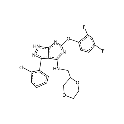 Fc1ccc(Oc2nc(NCC3COCCO3)c3c(-c4ccccc4Cl)n[nH]c3n2)c(F)c1